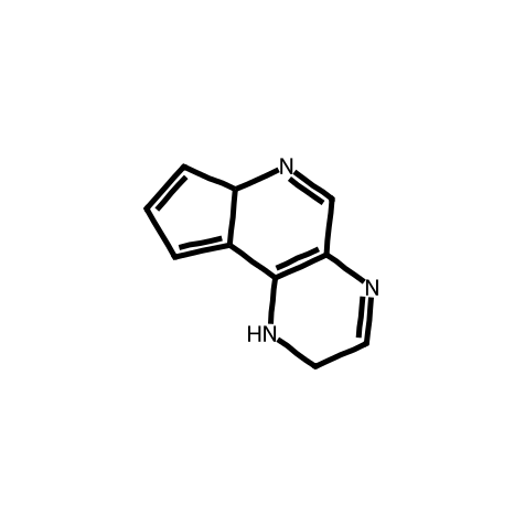 C1=CC2N=CC3=C(NCC=N3)C2=C1